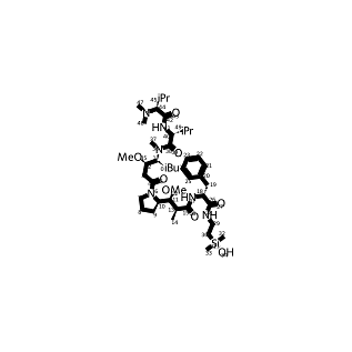 CC[C@@H](C)[C@H]([C@H](CC(=O)N1CCC[C@@H]1[C@@H](OC)[C@H](C)C(=O)N[C@H](Cc1ccccc1)C(=O)NCC[Si](C)(C)O)OC)N(C)C(=O)[C@H](NC(=O)[C@@H](C(C)C)N(C)C)C(C)C